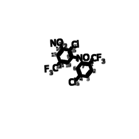 FC(F)(F)c1ccc(Cl)cc1.O=[N+]([O-])c1cc(C(F)(F)F)cc([N+](=O)[O-])c1Cl